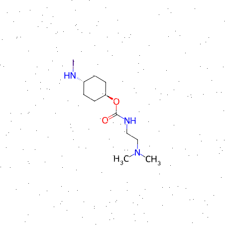 CN(C)CCNC(=O)O[C@H]1CC[C@H](NI)CC1